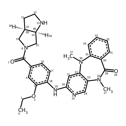 CCOc1cc(C(=O)N2C[C@H]3CCN[C@H]3C2)ccc1Nc1cc2c(cn1)N(C)C(=O)c1ccccc1N2C